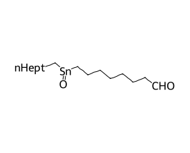 CCCCCCC[CH2][Sn](=[O])[CH2]CCCCCCC=O